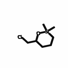 C[Si]1(C)CCCC(CCl)O1